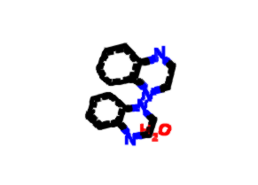 O.c1ccc2nccnc2c1.c1ccc2nccnc2c1